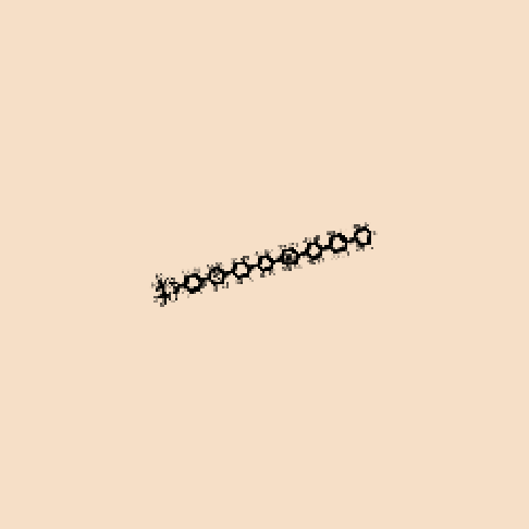 CC1(C)OB(c2ccc(C34CCC(c5ccc(-c6ccc(C78CCC(c9ccc(-c%10ccc(-c%11ccccc%11)cc%10)cc9)(CC7)CC8)cc6)cc5)(CC3)CC4)cc2)OC1(C)C